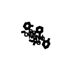 CCOP(N=P(NP(OCC)Oc1ccccc1C)(OCC)Oc1ccccc1C)Oc1ccccc1C